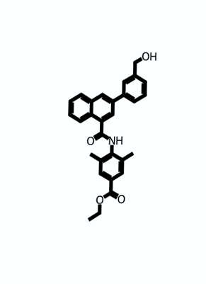 CCOC(=O)c1cc(C)c(NC(=O)c2cc(-c3cccc(CO)c3)cc3ccccc23)c(C)c1